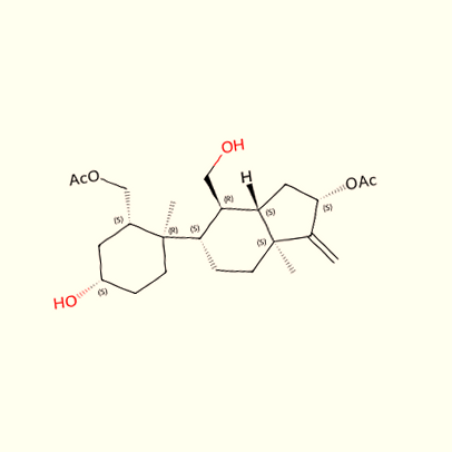 C=C1[C@@H](OC(C)=O)C[C@H]2[C@H](CO)[C@@H]([C@@]3(C)CC[C@H](O)C[C@@H]3COC(C)=O)CC[C@]12C